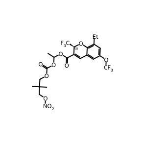 CCc1cc(OC(F)(F)F)cc2c1O[C@H](C(F)(F)F)C(C(=O)OC(C)OC(=O)OCC(C)(C)CO[N+](=O)[O-])=C2